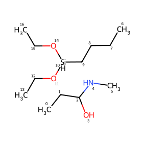 CCC(O)NC.CCCC[SiH](OCC)OCC